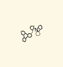 c1ccc(-n2c3c(c4ccccc42)CCCC3)c(Cc2ccc3c4ccccc4c4ccccc4c3c2)c1